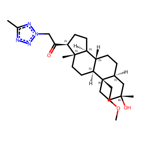 COCC[C@]12CC[C@@](C)(O)C[C@@H]1CC[C@H]1[C@@H]3CC[C@H](C(=O)Cn4nnc(C)n4)[C@@]3(C)CC[C@@H]12